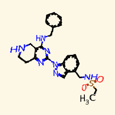 CCS(=O)(=O)NCc1cccc2c1cnn2-c1nc2c(c(NCc3ccccc3)n1)CNCC2